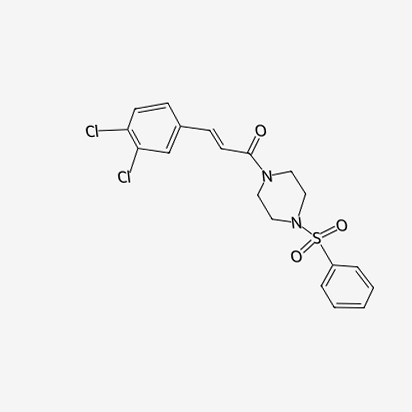 O=C(C=Cc1ccc(Cl)c(Cl)c1)N1CCN(S(=O)(=O)c2ccccc2)CC1